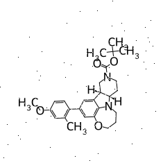 COc1ccc(-c2cc3c4c(c2)[C@@H]2CN(C(=O)OC(C)(C)C)CC[C@@H]2N4CCCO3)c(C)c1